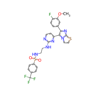 COc1cc(-c2nc3sccn3c2-c2ccnc(NCCNS(=O)(=O)c3ccc(C(F)(F)F)cc3)n2)ccc1F